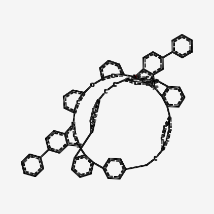 c1ccc(-c2ccc3c(c2)[n+]2cn3-c3cccc(c3)Oc3cccc(c3)-n3c[n+](c4cc(-c5ccccc5)ccc43)-c3c4cccc3-c3ccc(cc3)CCc3ccc(cc3)-c3cccc(c3-2)-c2ccc(cc2)CCc2ccc-4cc2)cc1